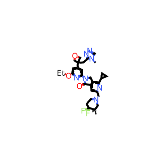 CCOc1cc(C2(Cc3nncn3C)COC2)cc(N2Cc3c(cc(CN4CCC(F)(F)[C@H](C)C4)nc3C3CC3)C2=O)n1